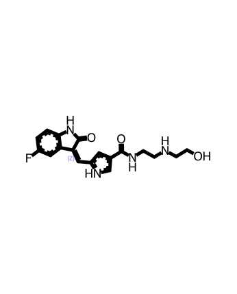 O=C1Nc2ccc(F)cc2/C1=C/c1cc(C(=O)NCCNCCO)c[nH]1